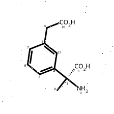 C[C@@](N)(C(=O)O)c1cccc(CC(=O)O)c1